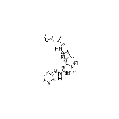 COCCC(C)CNc1nc(-c2cc(NCC3CCCCC3)ncc2Cl)cs1